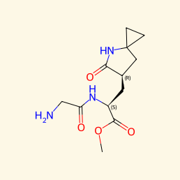 COC(=O)[C@H](C[C@@H]1CC2(CC2)NC1=O)NC(=O)CN